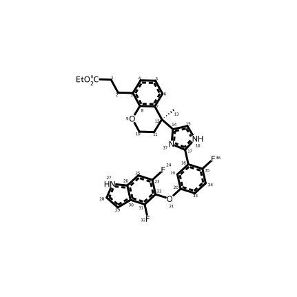 CCOC(=O)CCc1cccc2c1OCC[C@]2(C)c1c[nH]c(-c2cc(Oc3c(F)cc4[nH]ccc4c3F)ccc2F)n1